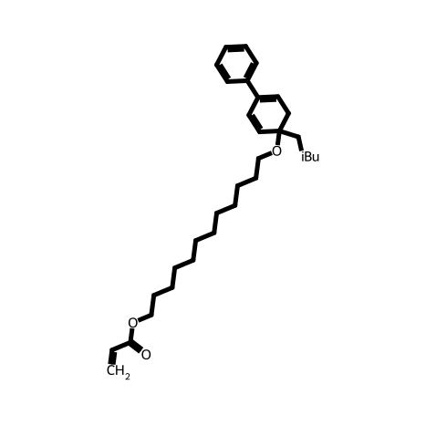 C=CC(=O)OCCCCCCCCCCCCOC1(CC(C)CC)C=CC(c2ccccc2)=CC1